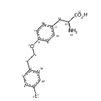 CCc1ccc(CCOc2ccc(CC(N)C(=O)O)cc2)nc1